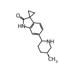 C[C@H]1CCC(c2ccc3c(c2)NC(=O)C32CC2)NC1